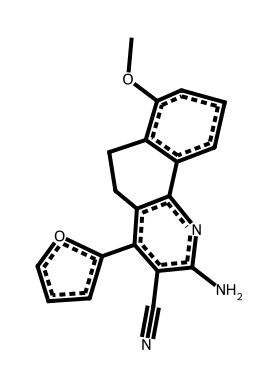 COc1cccc2c1CCc1c-2nc(N)c(C#N)c1-c1ccco1